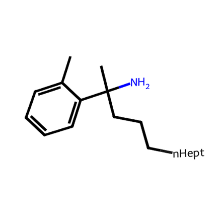 CCCCCCCCCCC(C)(N)c1ccccc1C